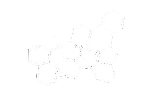 CCC(/C=C\C1=C(C)N2C(=NC3C=CC=CC32)c2ccccc21)P(=O)(c1cccc2ccccc12)c1cccc2ccccc12